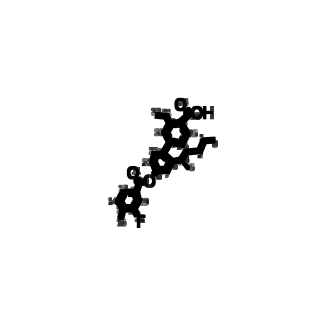 CCCC[C@@H](C)c1cc(OC(=O)c2ccc(C)c(F)c2)ccc1-c1ccc(C(=O)O)c(CC)c1